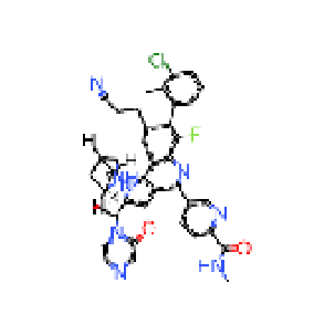 CNC(=O)c1ccc(-c2nc3c(F)c(-c4cccc(Cl)c4C)c(CCC#N)cc3c3c2cc(C(C)n2ccncc2=O)n3[C@H]2[C@H]3CN[C@@H]2C3)cn1